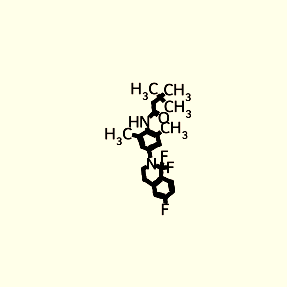 Cc1cc(N2CCc3cc(F)ccc3C2(F)F)cc(C)c1NC(=O)CC(C)(C)C